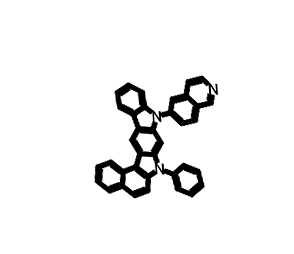 c1ccc(-n2c3cc4c(cc3c3c5ccccc5ccc32)c2ccccc2n4-c2ccc3cnccc3c2)cc1